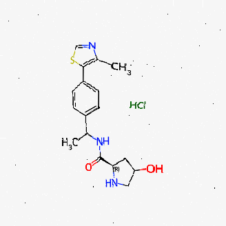 Cc1ncsc1-c1ccc(C(C)NC(=O)[C@H]2CC(O)CN2)cc1.Cl